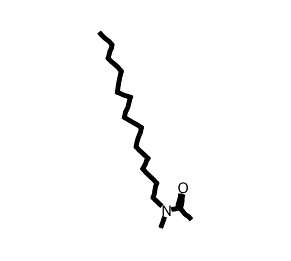 CCCCCCCCCCCCCN(C)C(C)=O